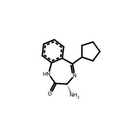 N[C@H]1N=C(C2CCCC2)c2ccccc2NC1=O